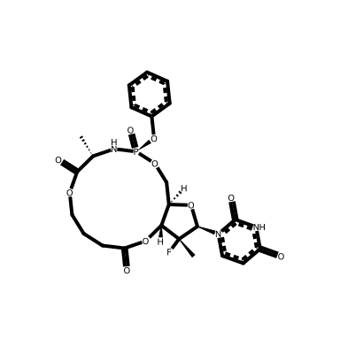 C[C@@H]1N[P@@](=O)(Oc2ccccc2)OC[C@H]2O[C@@H](n3ccc(=O)[nH]c3=O)[C@](C)(F)[C@@H]2OC(=O)CCCOC1=O